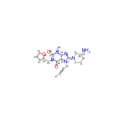 CC#CCn1c(N2CCC[C@@H](N)C2)nc2c1c(=O)n(Cc1ccco1)c(=O)n2C